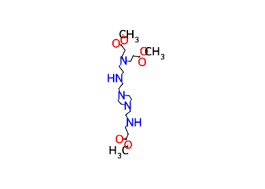 COC(=O)CCNCCN1CCN(CCNCCN(CCC(=O)OC)CCC(=O)OC)CC1